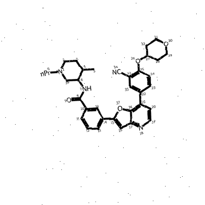 CCCN1CCC(C)C(NC(=O)c2cccc(-c3cc4nccc(-c5ccc(OC6CCOCC6)c(C#N)c5)c4o3)c2)C1